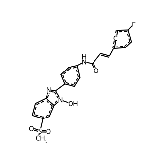 CS(=O)(=O)c1ccc2nc(-c3ccc(NC(=O)C=Cc4ccc(F)cc4)cc3)n(O)c2c1